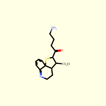 CCOC(=O)C1C(C(=O)CCCN)SC23C=CC=CC2=NCCC13